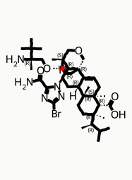 CC(C)[C@@H](C)[C@@]1(C)CC[C@]2(C)[C@H]3CC[C@@H]4[C@@]5(COC[C@@]4(C)[C@@H](OC[C@](C)(N)C(C)(C)C)[C@H](n4nc(Br)nc4C(N)=O)C5)C3=CC[C@@]2(C)[C@@H]1C(=O)O